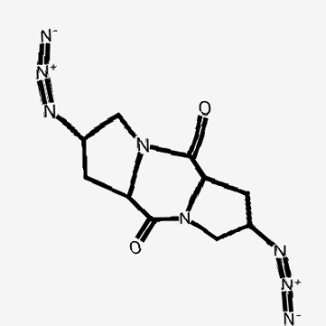 [N-]=[N+]=NC1CC2C(=O)N3CC(N=[N+]=[N-])CC3C(=O)N2C1